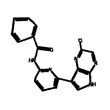 O=C(Nc1cccc(-c2c[nH]c3ncc(Cl)nc23)n1)c1ccccc1